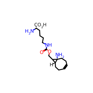 N[C@@H](CCCCNC(=O)OCC1[C@H]2CCC#CCC[C@@]12N)C(=O)O